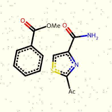 CC(=O)c1nc(C(N)=O)cs1.COC(=O)c1ccccc1